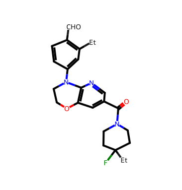 CCc1cc(N2CCOc3cc(C(=O)N4CCC(F)(CC)CC4)cnc32)ccc1C=O